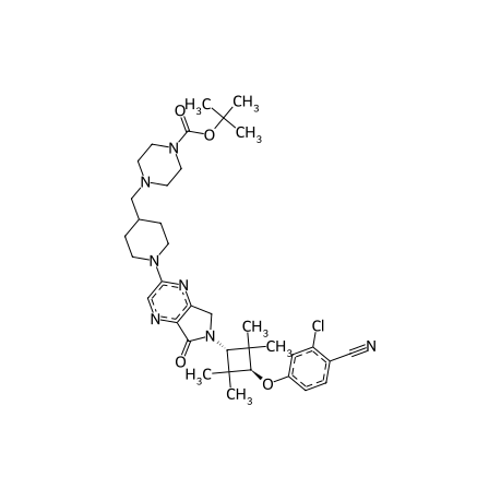 CC(C)(C)OC(=O)N1CCN(CC2CCN(c3cnc4c(n3)CN([C@H]3C(C)(C)[C@H](Oc5ccc(C#N)c(Cl)c5)C3(C)C)C4=O)CC2)CC1